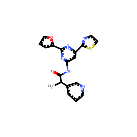 CC(C(=O)Nc1cc(-c2nccs2)nc(-c2ccco2)n1)c1cccnc1